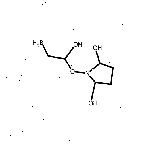 BCC(O)ON1C(O)CCC1O